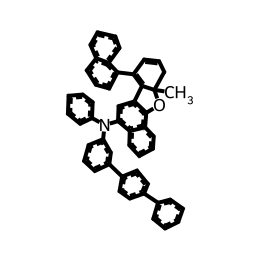 CC12CC=CC(c3cccc4ccccc34)=C1c1cc(N(c3ccccc3)c3cccc(-c4ccc(-c5ccccc5)cc4)c3)c3ccccc3c1O2